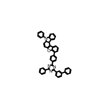 C1=CC2C(c3ccccc3N2c2ccccc2)c2c1oc1c(-c3ccc(-c4nc(-c5ccccc5)nc(-c5cccc(-c6ccccc6)c5)n4)cc3)cccc21